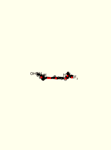 CC(CCC(=O)NC=O)N1C(=O)c2cccc(NCCCCCCCCCC(=O)NCCOCCOCCNC(=O)c3ccc4c(c3)c3cn(C)nc3n4C3C=CC(C(F)(F)F)=CC3)c2C1=O